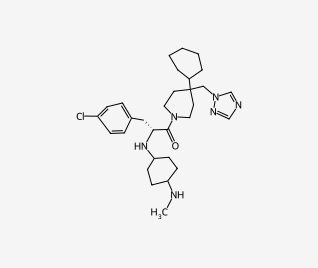 CNC1CCC(N[C@H](Cc2ccc(Cl)cc2)C(=O)N2CCC(Cn3cncn3)(C3CCCCC3)CC2)CC1